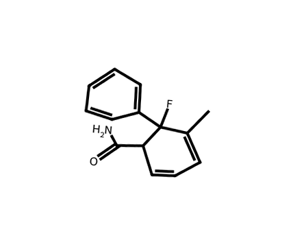 CC1=CC=CC(C(N)=O)C1(F)c1ccccc1